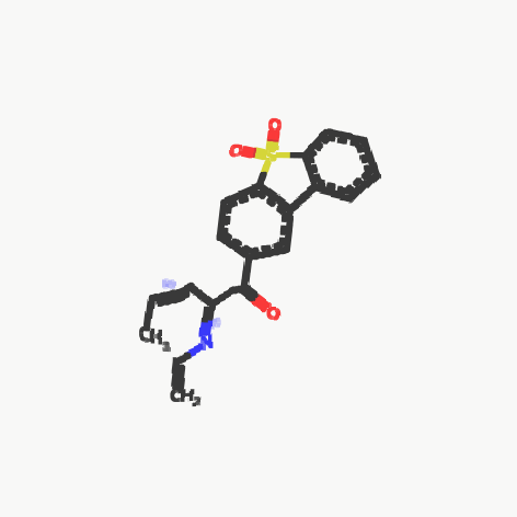 C=C/N=C(\C=C/C)C(=O)c1ccc2c(c1)-c1ccccc1S2(=O)=O